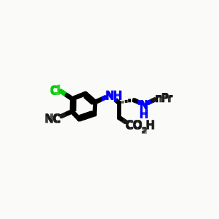 CCCNC[C@H](CC(=O)O)Nc1ccc(C#N)c(Cl)c1